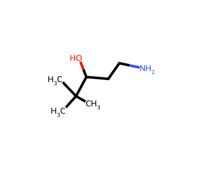 CC(C)(C)C(O)CCN